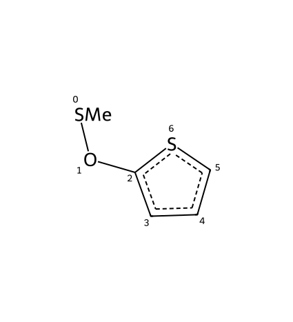 CSOc1cccs1